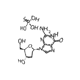 Nc1nc2c(ncn2[C@H]2C[C@H](O)[C@@H](CO)O2)c(=O)[nH]1.OP(O)(O)=S